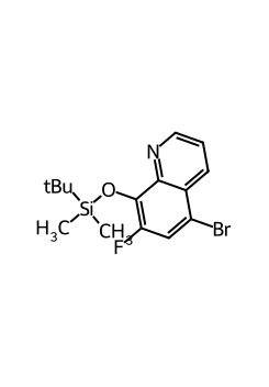 CC(C)(C)[Si](C)(C)Oc1c(F)cc(Br)c2cccnc12